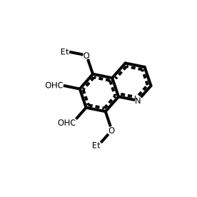 CCOc1c(C=O)c(C=O)c(OCC)c2ncccc12